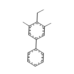 CCc1cc(-c2ccccc2)cc(CC)c1CC(=O)O